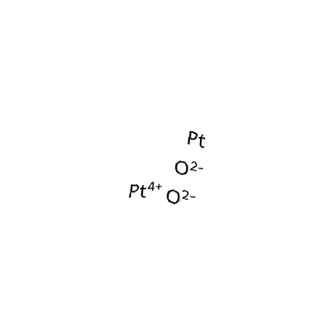 [O-2].[O-2].[Pt+4].[Pt]